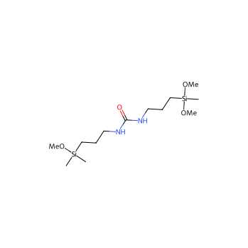 CO[Si](C)(C)CCCNC(=O)NCCC[Si](C)(OC)OC